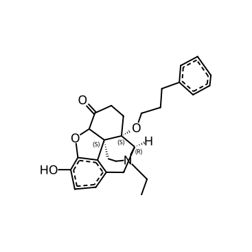 CCN1CC[C@]23c4c5ccc(O)c4OC2C(=O)CC[C@@]3(OCCCc2ccccc2)[C@H]1C5